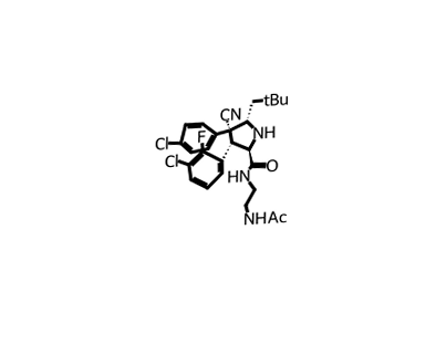 CC(=O)NCCNC(=O)[C@@H]1N[C@@H](CC(C)(C)C)[C@](C#N)(c2ccc(Cl)cc2)[C@H]1c1cccc(Cl)c1F